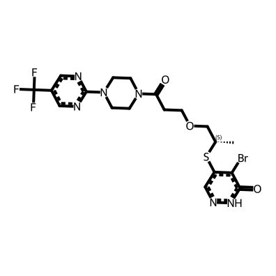 C[C@@H](COCCC(=O)N1CCN(c2ncc(C(F)(F)F)cn2)CC1)Sc1cn[nH]c(=O)c1Br